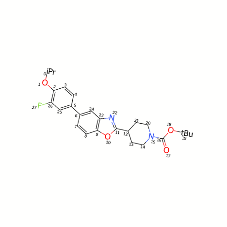 CC(C)Oc1ccc(-c2ccc3oc(C4CCN(C(=O)OC(C)(C)C)CC4)nc3c2)cc1F